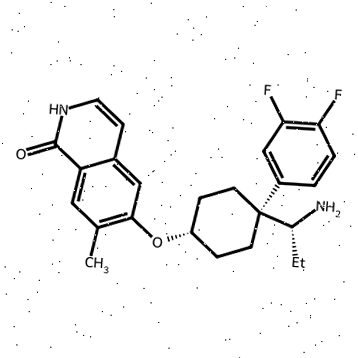 CC[C@@H](N)[C@]1(c2ccc(F)c(F)c2)CC[C@@H](Oc2cc3cc[nH]c(=O)c3cc2C)CC1